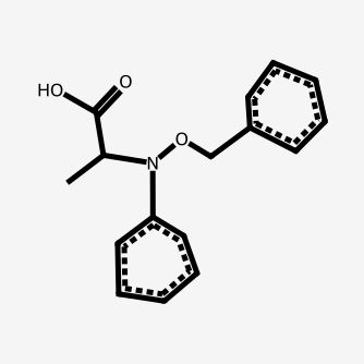 CC(C(=O)O)N(OCc1ccccc1)c1ccccc1